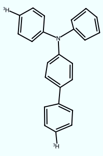 [3H]c1ccc(-c2ccc(N(c3ccccc3)c3ccc([3H])cc3)cc2)cc1